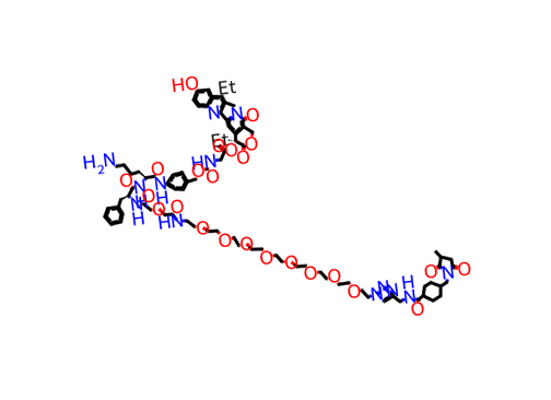 CCc1c2c(nc3ccc(O)cc13)-c1cc3c(c(=O)n1C2)COC(=O)[C@@]3(CC)OC(=O)CNC(=O)OCc1ccc(NC(=O)[C@H](CCCCN)NC(=O)[C@H](Cc2ccccc2)NC(=O)COCC(=O)NCCOCCOCCOCCOCCOCCOCCOCCOCCn2cc(CNC(=O)C3CCC(CN4C(=O)CC(C)C4=O)CC3)nn2)cc1